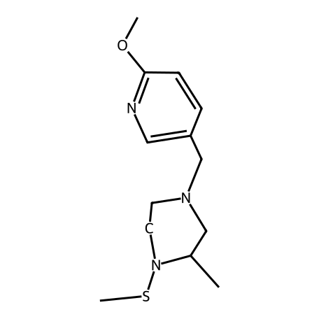 COc1ccc(CN2CCN(SC)C(C)C2)cn1